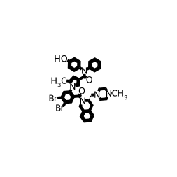 Cc1cc(C(=O)N(c2ccccc2)c2ccc(O)cc2)cn1-c1cc(Br)c(Br)cc1C(=O)N1Cc2ccccc2C[C@H]1CN1CCN(C)CC1